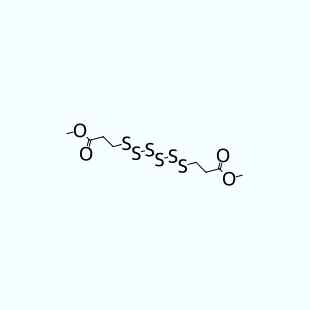 COC(=O)CCSSSSSSCCC(=O)OC